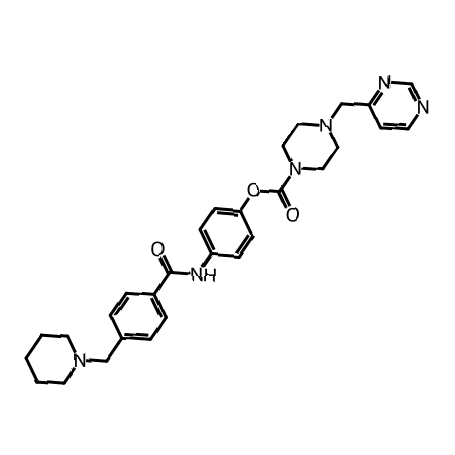 O=C(Nc1ccc(OC(=O)N2CCN(Cc3ccncn3)CC2)cc1)c1ccc(CN2CCCCC2)cc1